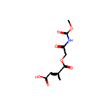 COC(=O)NC(=O)COC(=O)C(C)=CC(=O)O